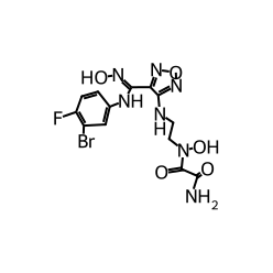 NC(=O)C(=O)N(O)CCNc1nonc1/C(=N/O)Nc1ccc(F)c(Br)c1